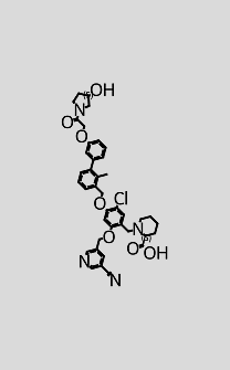 Cc1c(COc2cc(OCc3cncc(C#N)c3)c(CN3CCCC[C@H]3C(=O)O)cc2Cl)cccc1-c1cccc(OCC(=O)N2CC[C@H](O)C2)c1